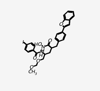 COCOCC(CC(Cc1ccc(-c2cc3ccccc3o2)cc1)C(=O)NO)NC(=O)c1ccc(I)cc1